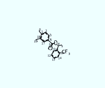 Cc1ccc(C(=O)OC(C)c2ccccc2C(F)(F)F)cc1C